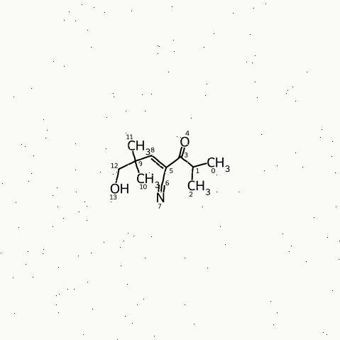 CC(C)C(=O)/C(C#N)=C/C(C)(C)CO